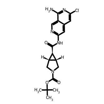 CC(C)(C)OC(=O)N1C[C@@H]2[C@H](C1)[C@H]2C(=O)Nc1cc2cc(Cl)nc(N)c2cn1